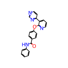 O=C(Nc1ccccc1)c1ccc(Oc2ncccc2-c2ccncn2)cc1